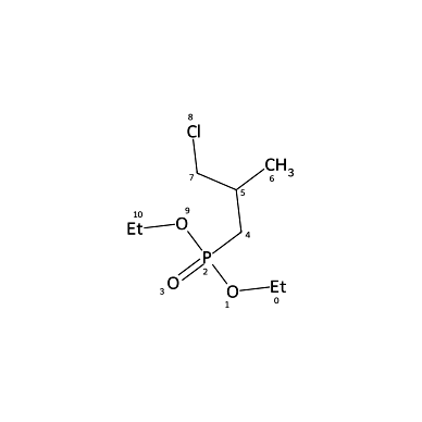 CCOP(=O)(CC(C)CCl)OCC